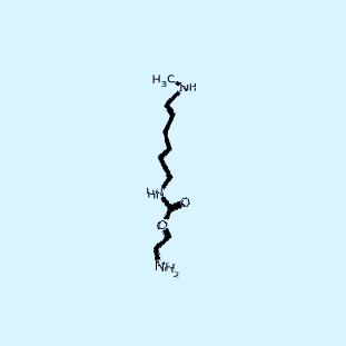 CNCCCCCCNC(=O)OCCN